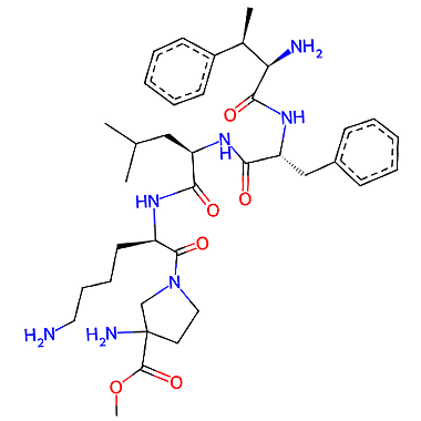 COC(=O)C1(N)CCN(C(=O)[C@@H](CCCCN)NC(=O)[C@@H](CC(C)C)NC(=O)[C@@H](Cc2ccccc2)NC(=O)[C@H](N)[C@H](C)c2ccccc2)C1